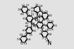 N#Cc1ccc(-c2cc3c4c(c2-c2ccccc2)-c2cccc5c6ccccc6n(c25)B4c2cc(-c4ccccc4)ccc2N3c2ccc(-c3ccccc3)cc2)cc1